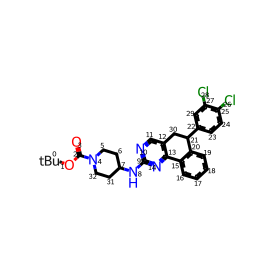 CC(C)(C)OC(=O)N1CCC(Nc2ncc3c(n2)-c2ccccc2C(c2ccc(Cl)c(Cl)c2)C3)CC1